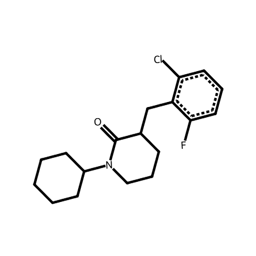 O=C1C(Cc2c(F)cccc2Cl)CCCN1C1CCCCC1